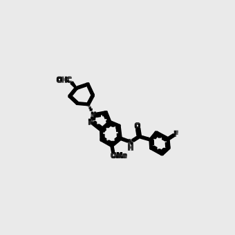 COc1cc2nn([C@H]3CC[C@H](C=O)CC3)cc2cc1NC(=O)c1cccc(F)c1